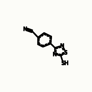 N#Cc1ccc(-c2nsc(S)n2)cc1